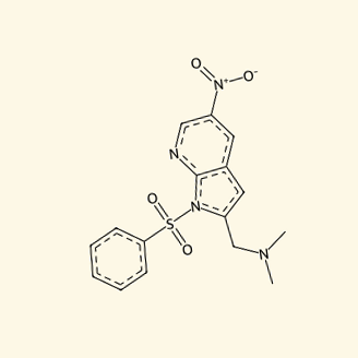 CN(C)Cc1cc2cc([N+](=O)[O-])cnc2n1S(=O)(=O)c1ccccc1